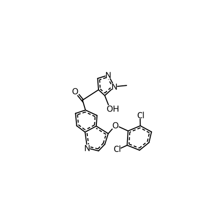 Cn1ncc(C(=O)c2ccc3nccc(Oc4c(Cl)cccc4Cl)c3c2)c1O